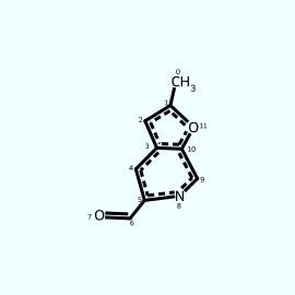 Cc1cc2cc(C=O)ncc2o1